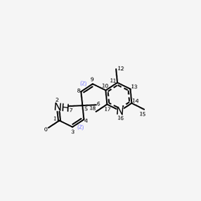 CC(=N)/C=C\C(C)(C)/C=C\c1c(C)cc(C)nc1C